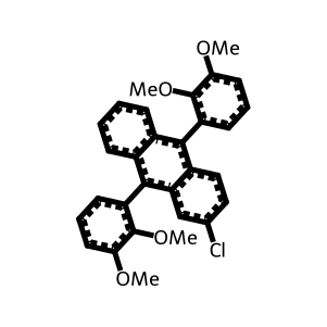 COc1cccc(-c2c3ccccc3c(-c3cccc(OC)c3OC)c3cc(Cl)ccc23)c1OC